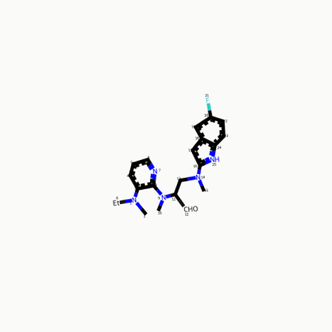 CCN(C)c1cccnc1N(C)C(C=O)CN(C)c1cc2cc(F)ccc2[nH]1